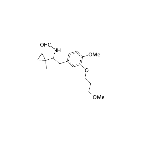 COCCCOc1cc(CC(NC=O)C2(C)CC2)ccc1OC